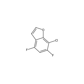 Fc1cc(F)c2ccoc2c1Cl